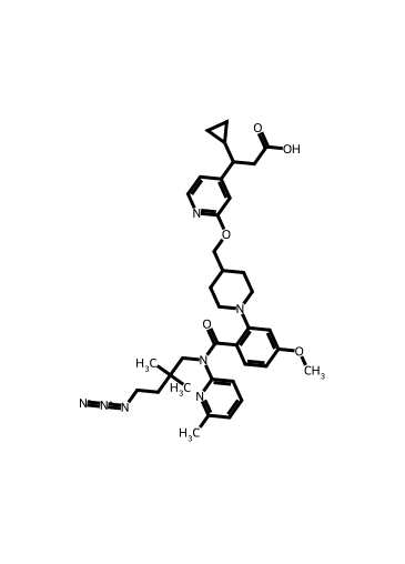 COc1ccc(C(=O)N(CC(C)(C)CCN=[N+]=[N-])c2cccc(C)n2)c(N2CCC(COc3cc(C(CC(=O)O)C4CC4)ccn3)CC2)c1